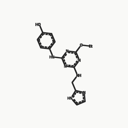 CCOc1nc(NCc2ncc[nH]2)nc(Nc2ccc(O)cc2)n1